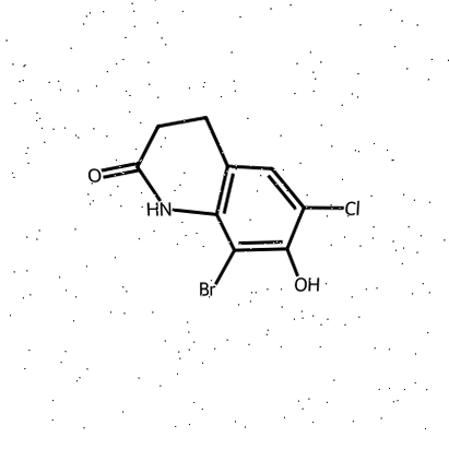 O=C1CCc2cc(Cl)c(O)c(Br)c2N1